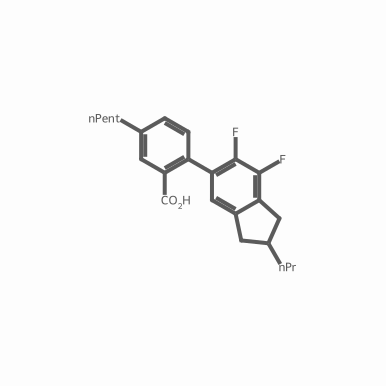 CCCCCc1ccc(-c2cc3c(c(F)c2F)CC(CCC)C3)c(C(=O)O)c1